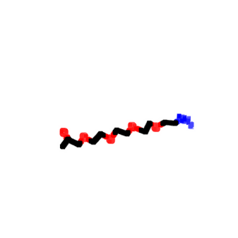 CC(=O)COCCOCCOCCOCCN